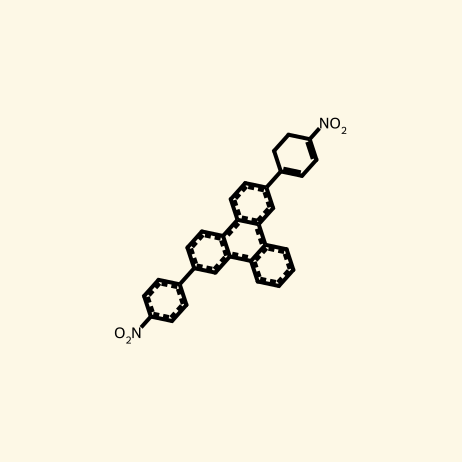 O=[N+]([O-])C1=CC=C(c2ccc3c4ccc(-c5ccc([N+](=O)[O-])cc5)cc4c4ccccc4c3c2)CC1